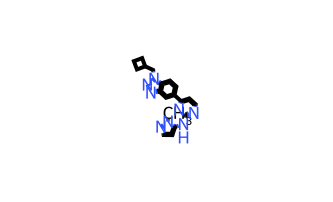 Cn1nccc1Nc1nccc(-c2ccc3c(c2)nnn3CC2CCC2)n1